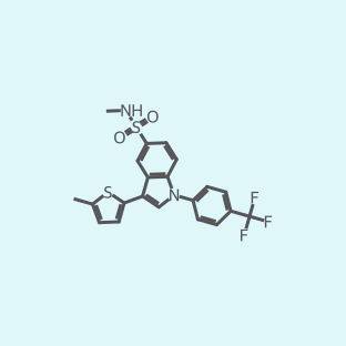 CNS(=O)(=O)c1ccc2c(c1)c(-c1ccc(C)s1)cn2-c1ccc(C(F)(F)F)cc1